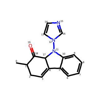 CC1CC=C2c3ccccc3N(n3ccnc3)C2C1=O